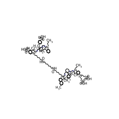 CCCCN1/C(=C/C=C2\CCCC(/C=C/C3=[N+](CCCCCC(=O)NCCCCCCNC(=O)CCCCC[N+]4=C(/C=C/C5=C(c6ccccc6F)C(=C/C=C6/N(CCC)c7ccc(N(CCCS(=O)(=O)O)CCCS(=O)(=O)O)cc7C6(C)C)/CCC5)C(C)(C)c5c4ccc4cc(C)ccc54)c4ccc(S(=O)(=O)O)cc4C3(C)C)=C2Oc2ccc(S(=O)(=O)O)cc2)C(C)(C)c2ccccc21